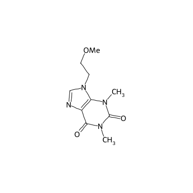 COCCn1cnc2c(=O)n(C)c(=O)n(C)c21